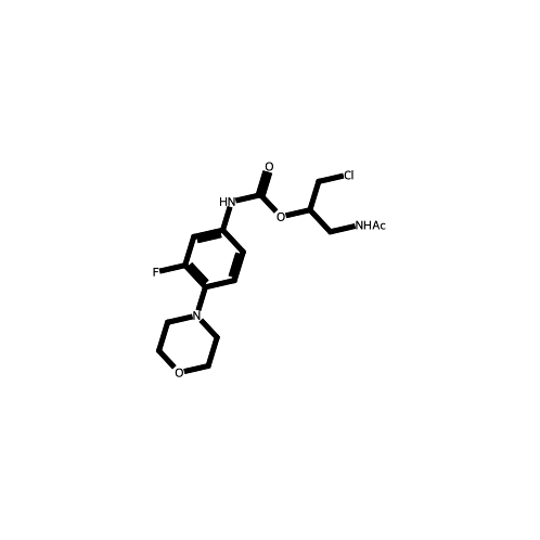 CC(=O)NCC(CCl)OC(=O)Nc1ccc(N2CCOCC2)c(F)c1